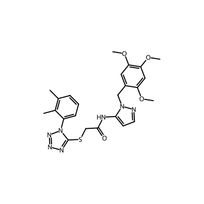 COc1cc(OC)c(OC)cc1Cn1nccc1NC(=O)CSc1nnnn1-c1cccc(C)c1C